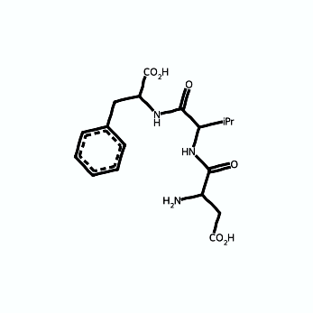 CC(C)C(NC(=O)C(N)CC(=O)O)C(=O)NC(Cc1ccccc1)C(=O)O